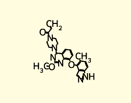 C=CC(=O)N1CCN(c2nc(OC)nc3c(Oc4c(C)ccc5[nH]ncc45)cccc23)CC1